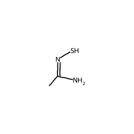 C/C(N)=N/S